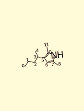 CCCC(C)c1cc(C)[nH]c1C